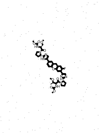 COC[C@H](NC(=O)OC)C(=O)N1CCC[C@H]1c1ncc(-c2ccc3c(c2)Cc2cc(F)c(-c4cnc([C@@H]5CCCN5C(=O)[C@@H](NC(=O)OC)[C@@H](C)OC)[nH]4)cc2O3)[nH]1